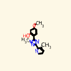 COc1ccc(-c2nc(-c3ncccc3C)nn2C)c(O)c1